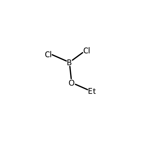 CCOB(Cl)Cl